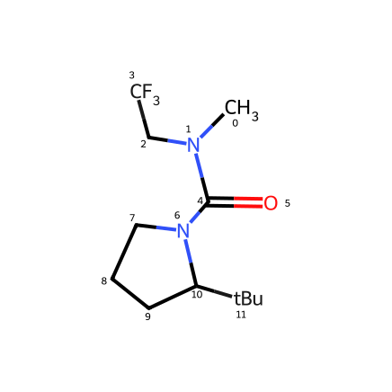 CN(CC(F)(F)F)C(=O)N1CCCC1C(C)(C)C